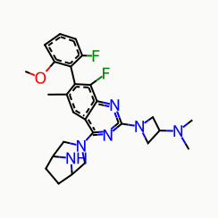 COc1cccc(F)c1-c1c(C)cc2c(N3CC4CCC(C3)N4)nc(N3CC(N(C)C)C3)nc2c1F